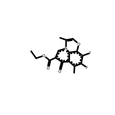 CCOC(=O)c1cn2c3c(c(F)c(F)c(C)c3c1=O)OC=C2C